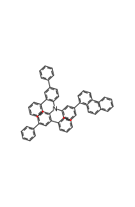 c1ccc(-c2ccc(N(c3cccc(-c4cccc5c4ccc4ccccc45)c3)c3ccc(-c4ccccc4)cc3-c3ccccc3)c(-c3ccccc3)c2)cc1